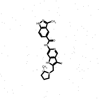 Cc1n[nH]c2ccc(C(=O)Nc3cc4[nH]c(CN5CCC[C@@H]5C)c(F)c4cn3)cc12